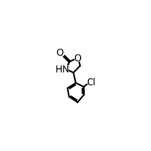 O=C1NC(c2ccccc2Cl)CO1